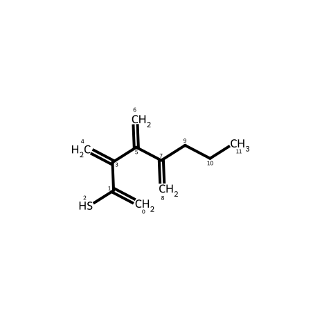 C=C(S)C(=C)C(=C)C(=C)CCC